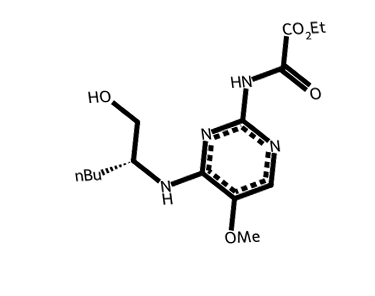 CCCC[C@H](CO)Nc1nc(NC(=O)C(=O)OCC)ncc1OC